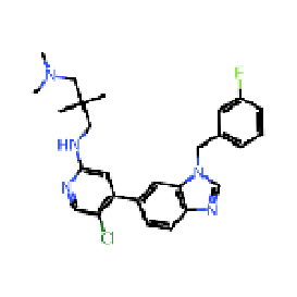 CN(C)CC(C)(C)CNc1cc(-c2ccc3ncn(Cc4cccc(F)c4)c3c2)c(Cl)cn1